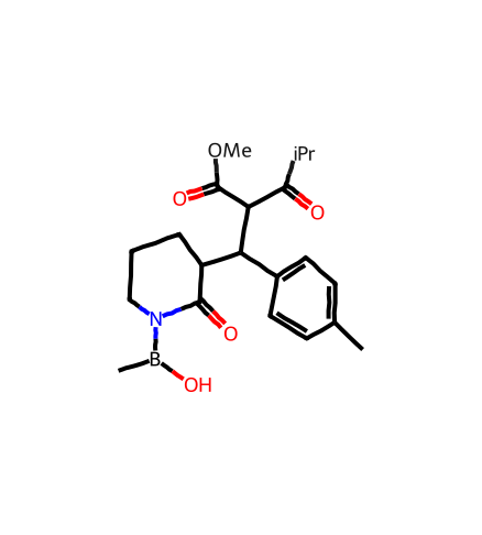 COC(=O)C(C(=O)C(C)C)C(c1ccc(C)cc1)C1CCCN(B(C)O)C1=O